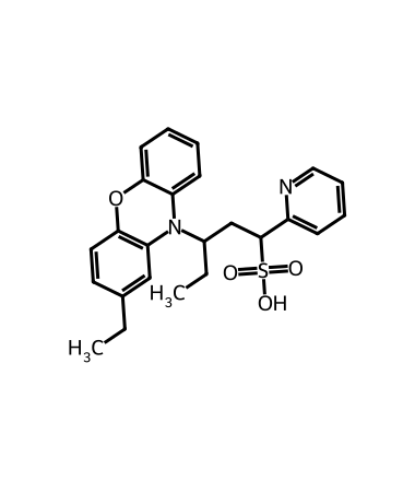 CCc1ccc2c(c1)N(C(CC)CC(c1ccccn1)S(=O)(=O)O)c1ccccc1O2